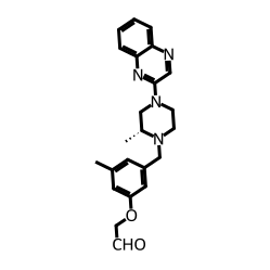 Cc1cc(CN2CCN(c3cnc4ccccc4n3)C[C@H]2C)cc(OCC=O)c1